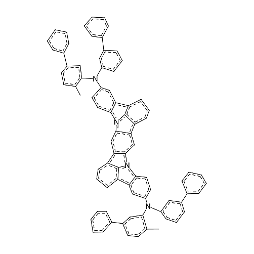 Cc1ccc(-c2ccccc2)cc1N(c1cccc(-c2ccccc2)c1)c1ccc2c(c1)c1cccc3c4cc5c(cc4n2c13)c1cccc2c3cc(N(c4cccc(-c6ccccc6)c4)c4cc(-c6ccccc6)ccc4C)ccc3n5c21